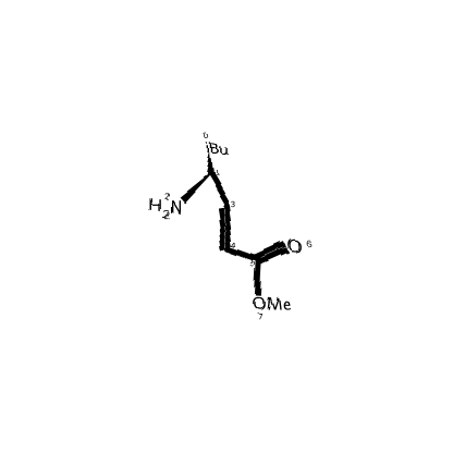 CC[C@H](C)[C@H](N)/C=C/C(=O)OC